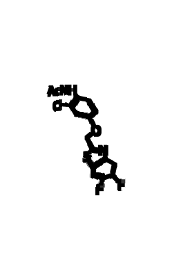 CC(=O)Nc1ccc(OCc2nc3cc(F)c(F)cc3s2)cc1Cl